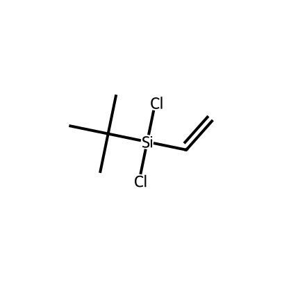 C=C[Si](Cl)(Cl)C(C)(C)C